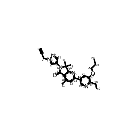 C#CCn1cc(N2C(=O)c3c(C)cc(-c4cnc(CC)c(OCCC)c4)nc3C2(C)C)cn1